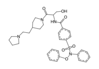 O=C(NC(CO)C(=O)N1CCC(CCN2CCCC2)CC1)c1ccc(S(=O)(=O)N(Oc2ccccc2)c2ccccc2)cc1